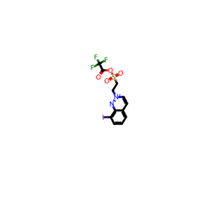 O=C(OS(=O)(=O)CC[n+]1ccc2cccc(I)c2n1)C(F)(F)F